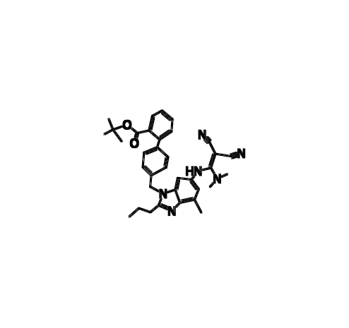 CCCc1nc2c(C)cc(NC(=C(C#N)C#N)N(C)C)cc2n1Cc1ccc(-c2ccccc2C(=O)OC(C)(C)C)cc1